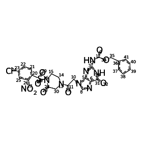 O=C(Nc1nc2c(ncn2CC(=O)N2CCN(S(=O)(=O)c3ccc(Cl)cc3[N+](=O)[O-])C(=O)C2)c(=O)[nH]1)OCc1ccccc1